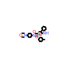 Cc1cccc(S(=O)(=O)[C@@H](Cc2c[nH]c3ccccc23)C(=O)Nc2ccc(N3CCOCC3)cc2)c1